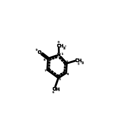 [CH2]n1c(C)cc(O)cc1=O